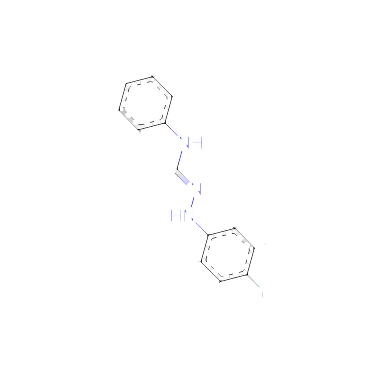 Clc1ccc(NN=CNc2ccccc2)cc1